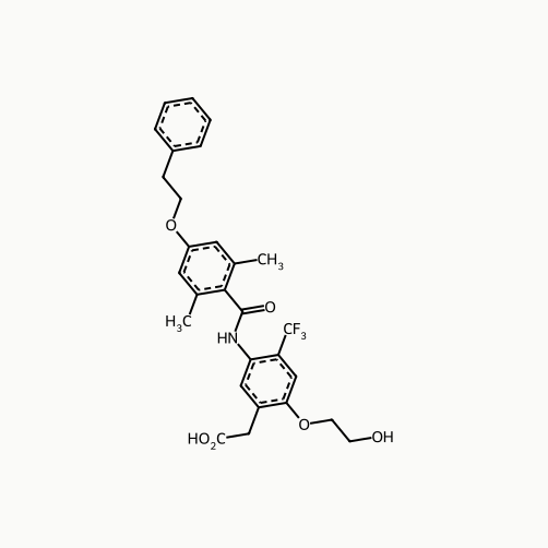 Cc1cc(OCCc2ccccc2)cc(C)c1C(=O)Nc1cc(CC(=O)O)c(OCCO)cc1C(F)(F)F